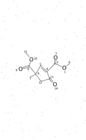 COC(=O)C1=CC(C)(C(=O)OC)CC1=O